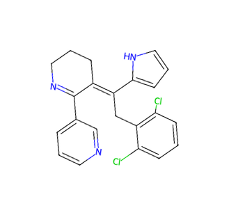 Clc1cccc(Cl)c1CC(=C1CCCN=C1c1cccnc1)c1ccc[nH]1